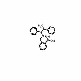 C[C@@H](c1ccccc1)[C@@H](NCc1ccccc1B(O)O)c1ccccc1